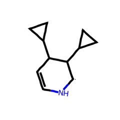 [CH]1NC=CC(C2CC2)C1C1CC1